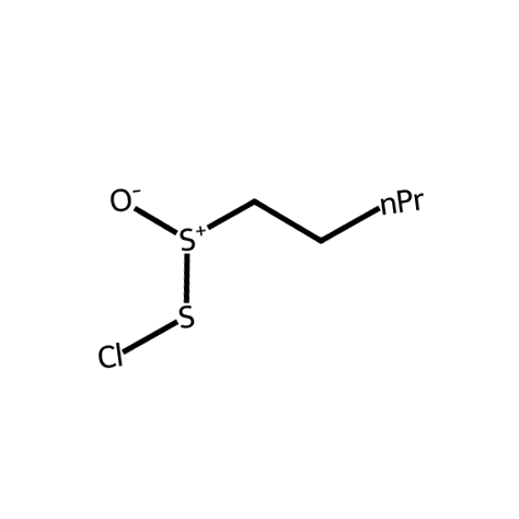 CCCCC[S+]([O-])SCl